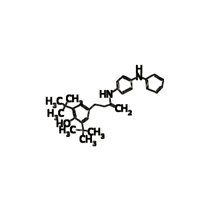 C=C(CCc1cc(C(C)(C)C)c(O)c(C(C)(C)C)c1)Nc1ccc(Nc2ccccc2)cc1